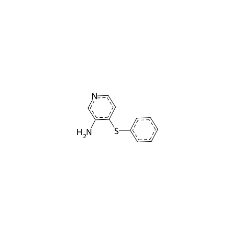 Nc1cnccc1Sc1ccccc1